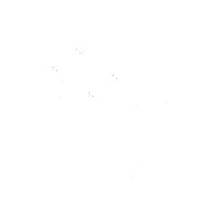 C[C@H](COc1cc(C(F)(F)F)ccc1Cl)NC(=O)c1[nH]c(=O)[nH]c(=O)c1N